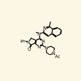 CC(=O)N1CCN(c2nc3c(c(N(C)c4cc5ccccc5c(C)n4)n2)CN(C(C)C)C3=O)CC1